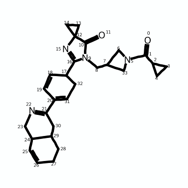 O=C(C1CC1)N1CC(CN2C(=O)C3(CC3)N=C2C2C=CC(C3=NCC4C=CCCC4C3)=CC2)C1